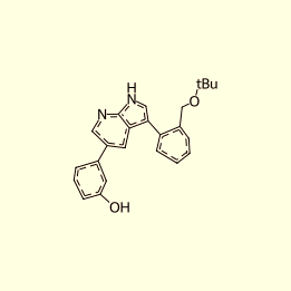 CC(C)(C)OCc1ccccc1-c1c[nH]c2ncc(-c3cccc(O)c3)cc12